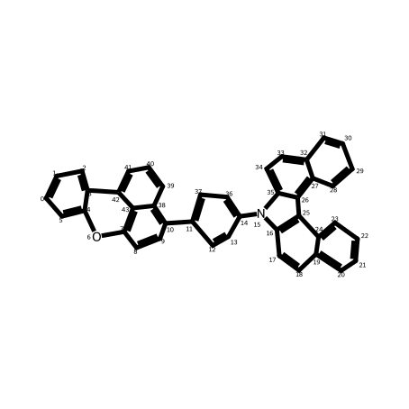 c1ccc2c(c1)Oc1ccc(-c3ccc(-n4c5ccc6ccccc6c5c5c6ccccc6ccc54)cc3)c3cccc-2c13